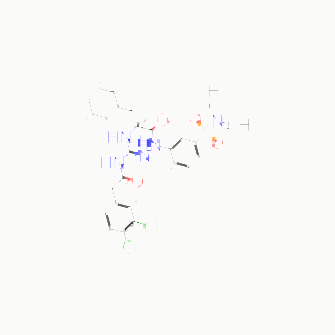 CN(C)S(=O)(=O)c1cccc(NC(=O)[C@@H](CC2CCCCC2)NC(=N)NC(=O)Cc2ccc(Cl)c(Cl)c2)c1